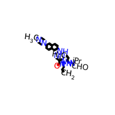 C=CCn1c(=O)c2cnc(Nc3ccc4cc(N5CCN(C)CC5)ccc4c3)nc2n1C(/C=C\C)=N/N(C=O)C(C)C